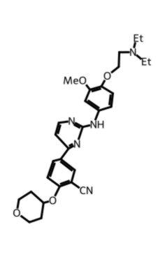 CCN(CC)CCOc1ccc(Nc2nccc(-c3ccc(OC4CCOCC4)c(C#N)c3)n2)cc1OC